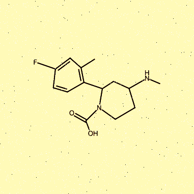 CNC1CCN(C(=O)O)C(c2ccc(F)cc2C)C1